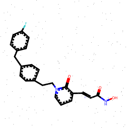 O=C(/C=C/c1cccn(CCc2ccc(Cc3ccc(F)cc3)cc2)c1=O)NO